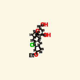 CCOc1ccc(Cc2cc3c(cc2Cl)CC[C@@]32CC(O)CC(CO)O2)cc1